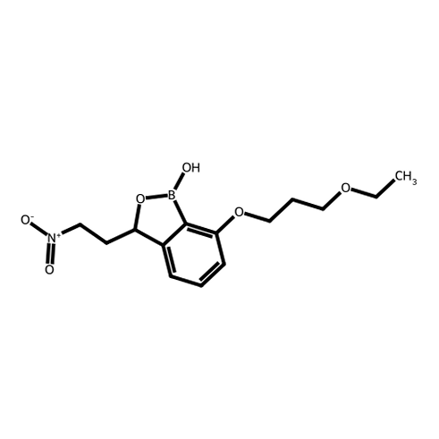 CCOCCCOc1cccc2c1B(O)OC2CC[N+](=O)[O-]